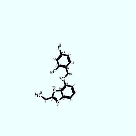 OCc1nc2cccc(OCc3ccc(F)cc3F)c2s1